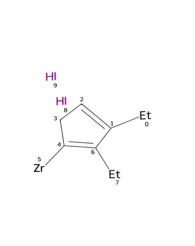 CCC1=CC[C]([Zr])=C1CC.I.I